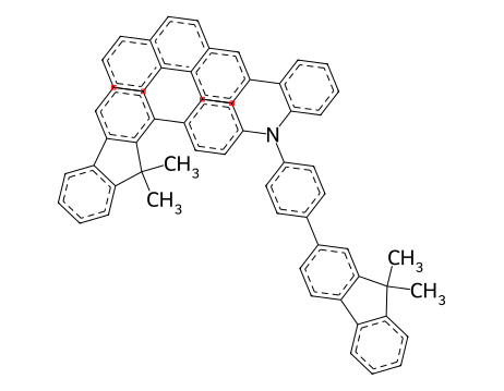 CC1(C)c2ccccc2-c2ccc(-c3ccc(N(c4ccc(-c5cccc6c5C(C)(C)c5ccccc5-6)cc4)c4ccccc4-c4ccc5c(ccc6ccccc65)c4)cc3)cc21